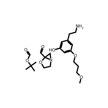 CC(C)(C)OC=O.COCCCOc1cc(O)cc(CCN)c1.O=CC12CN1CCO2